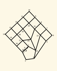 SC12C3CC4C5CC6C7C8CC9C%10C%11CC%12C3C13C%12%11C%101C89C78C56C42C381